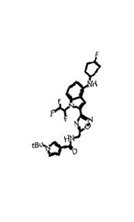 CC(C)(C)n1ccc(C(=O)NCc2nc(-c3cc4c(NC5CCC(F)CC5)cccc4n3C(F)C(F)F)no2)c1